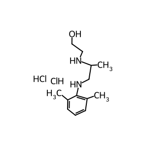 Cc1cccc(C)c1NCC(C)NCCO.Cl.Cl